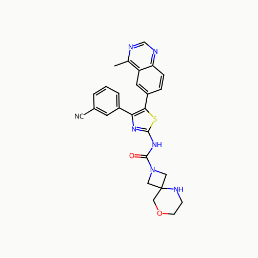 Cc1ncnc2ccc(-c3sc(NC(=O)N4CC5(COCCN5)C4)nc3-c3cccc(C#N)c3)cc12